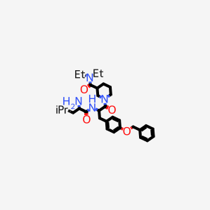 CCN(CC)C(=O)C1CCCN(C(=O)C(Cc2ccc(OCc3ccccc3)cc2)NC(=O)C(N)CC(C)C)C1